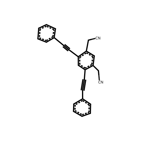 N#CCc1cc(CC#N)c(C#Cc2ccccc2)cc1C#Cc1ccccc1